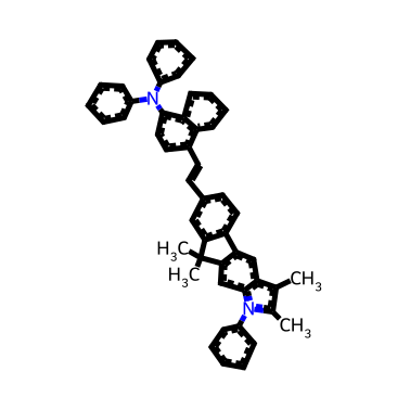 Cc1c(C)n(-c2ccccc2)c2cc3c(cc12)-c1ccc(/C=C/c2ccc(N(c4ccccc4)c4ccccc4)c4ccccc24)cc1C3(C)C